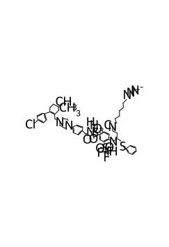 CN(CCCCCCCN=[N+]=[N-])CCC(CSc1ccccc1)Nc1ccc(S(=O)(=O)NC(=O)c2ccc(N3CCN(CC4=C(c5ccc(Cl)cc5)CCC(C)(C)C4)CC3)cc2)cc1S(=O)(=O)C(F)(F)F